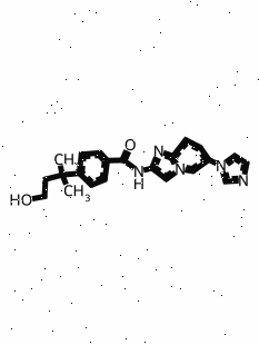 CC(C)(CCO)c1ccc(C(=O)Nc2cn3cc(-n4ccnc4)ccc3n2)cc1